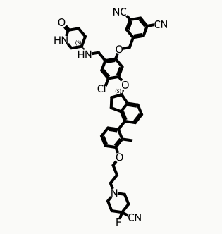 Cc1c(OCCCN2CCC(F)(C#N)CC2)cccc1-c1cccc2c1CC[C@@H]2Oc1cc(OCc2cc(C#N)cc(C#N)c2)c(CN[C@H]2CCC(=O)NC2)cc1Cl